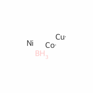 B.[Co].[Cu].[Ni]